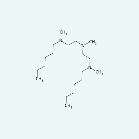 CCCCCCN(C)CCN(C)CCN(C)CCCCCC